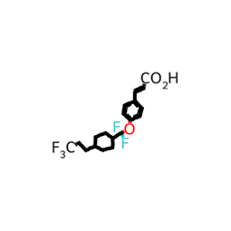 O=C(O)C=Cc1ccc(OC(F)(F)C2CCC(CCC(F)(F)F)CC2)cc1